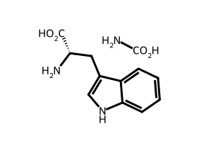 NC(=O)O.N[C@@H](Cc1c[nH]c2ccccc12)C(=O)O